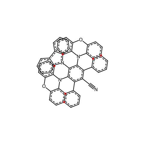 N#Cc1c(-c2ccccc2)c(N2c3ccccc3Oc3ccccc32)c(-n2c3ccccc3c3ccccc32)c(N2c3ccccc3Oc3ccccc32)c1-c1ccccc1